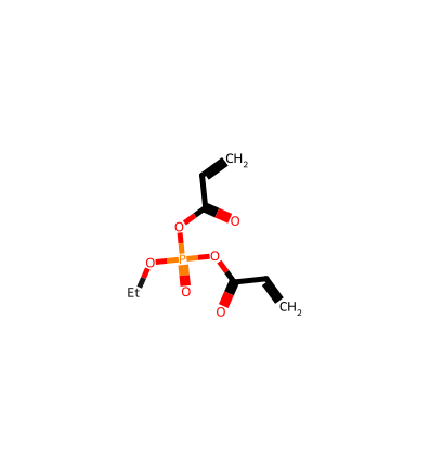 C=CC(=O)OP(=O)(OCC)OC(=O)C=C